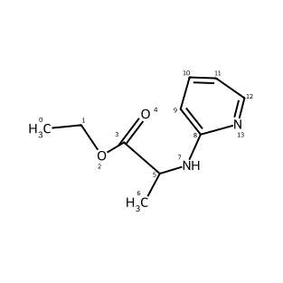 CCOC(=O)C(C)Nc1ccccn1